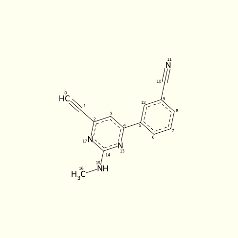 C#Cc1cc(-c2cccc(C#N)c2)nc(NC)n1